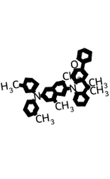 Cc1cccc(N(c2cccc(C)c2)c2cc(C)c3cc(N4c5ccccc5C(C)(C)c5cc6c(cc54)oc4ccccc46)c(C)cc3c2)c1